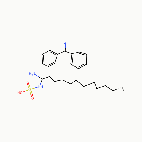 CCCCCCCCCCCC(N)NS(=O)(=O)O.N=C(c1ccccc1)c1ccccc1